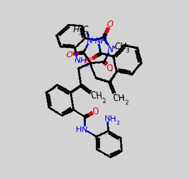 C=C(CC1(CC(=C)c2ccccc2C(=O)Nc2ccccc2N)C(=O)N(C)C(=O)N(C)C1=O)c1ccccc1C(=O)Nc1ccccc1N